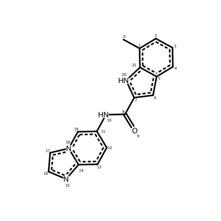 Cc1cccc2cc(C(=O)Nc3ccc4nccn4c3)[nH]c12